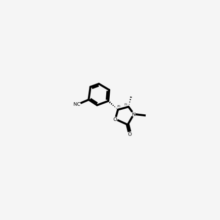 C[C@H]1[C@@H](c2cccc(C#N)c2)OC(=O)N1C